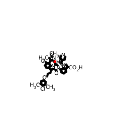 Cc1cc(OCCCc2c3n(c4c(-c5c(C)nn(C)c5C)c(Cl)ccc24)C(C)CN(c2cccc4c(C(=O)O)cn(Cc5ccncc5)c24)C3=O)cc(C)c1Cl